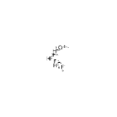 F.F.F.[Cr+3].[F-].[F-].[F-]